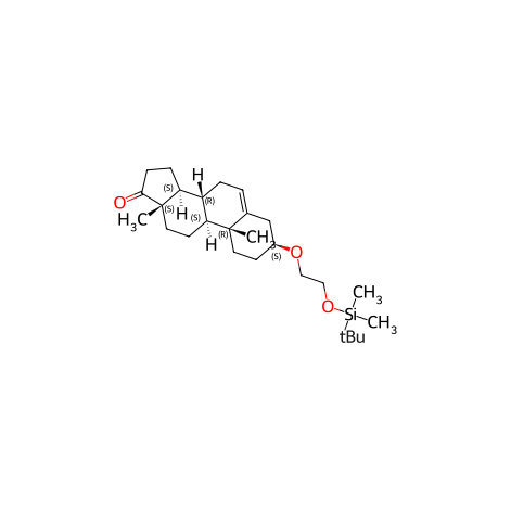 CC(C)(C)[Si](C)(C)OCCO[C@H]1CC[C@@]2(C)C(=CC[C@@H]3[C@@H]2CC[C@]2(C)C(=O)CC[C@@H]32)C1